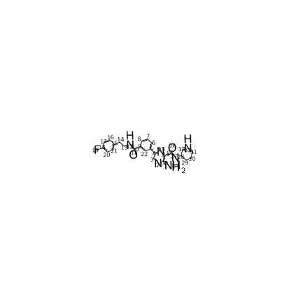 Nc1ncc(-c2cccc(C(=O)NCCc3ccc(F)cc3)c2)nc1C(=O)N[C@H]1CCCNC1